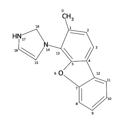 Cc1ccc2c(oc3ccccc32)c1N1C=CNC1